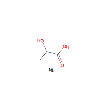 CC(O)C(=O)O.[Nb]